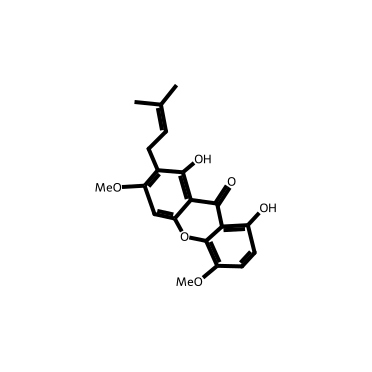 COc1cc2oc3c(OC)ccc(O)c3c(=O)c2c(O)c1CC=C(C)C